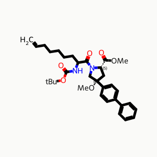 C=CCCCCCC(NC(=O)OC(C)(C)C)C(=O)N1C[C@](OC)(c2ccc(-c3ccccc3)cc2)C[C@H]1C(=O)OC